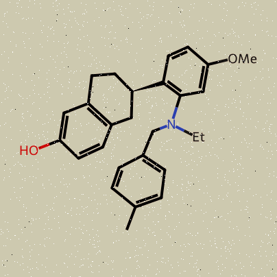 CCN(Cc1ccc(C)cc1)c1cc(OC)ccc1[C@@H]1CCc2cc(O)ccc2C1